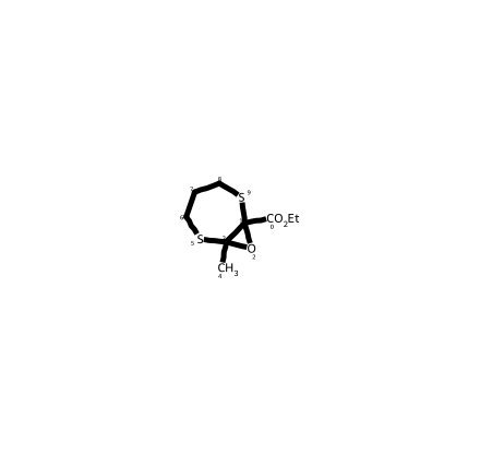 CCOC(=O)C12OC1(C)SCCCS2